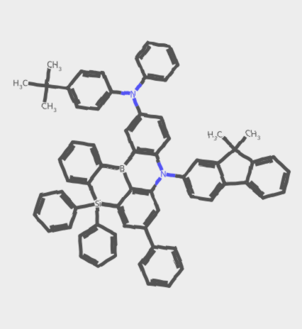 CC(C)(C)c1ccc(N(c2ccccc2)c2ccc3c(c2)B2c4ccccc4[Si](c4ccccc4)(c4ccccc4)c4cc(-c5ccccc5)cc(c42)N3c2ccc3c(c2)C(C)(C)c2ccccc2-3)cc1